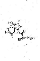 CCCCCCCC(CC)C(=O)OC1O[C@@H](C)C(O)C12CCNCC2